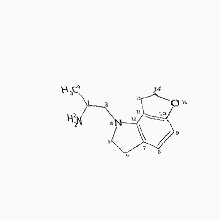 CC(N)CN1CCc2ccc3c(c21)CCO3